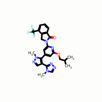 CC(C)COc1cc(-c2c(-c3nncn3C)cnn2C)cc(N2Cc3c(cccc3C(F)(F)F)C2=O)n1